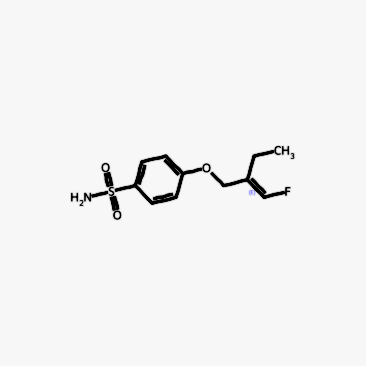 CC/C(=C\F)COc1ccc(S(N)(=O)=O)cc1